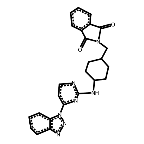 O=C1c2ccccc2C(=O)N1CC1CCC(Nc2nccc(-n3nnc4ccccc43)n2)CC1